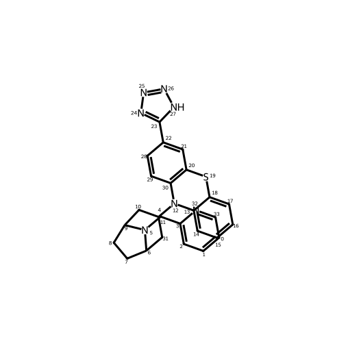 c1ccc(CN2C3CCC2CC(N2c4ccccc4Sc4cc(-c5nnn[nH]5)ccc42)C3)nc1